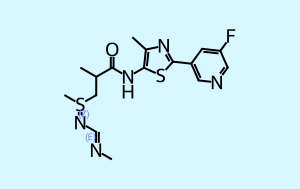 C/N=C/N=S(/C)CC(C)C(=O)Nc1sc(-c2cncc(F)c2)nc1C